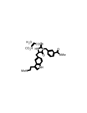 CNCCc1c[nH]c2ccc(CC3NC(=O)N(Cc4cccc(C(=O)NC)c4)C3=O)cc12.O.O=C(O)/C=C\C(=O)O